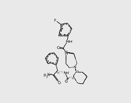 NC(=O)[C@@H](NC(=O)[C@H]1CCCC[C@@H]1N1CCN(C(=O)Nc2ccc(F)cc2)CC1)c1ccccc1